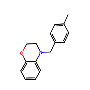 Cc1ccc(CN2CCOc3ccccc32)cc1